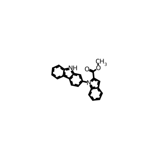 COC(=O)c1cc2ccccc2n1-c1ccc2c(c1)[nH]c1ccccc12